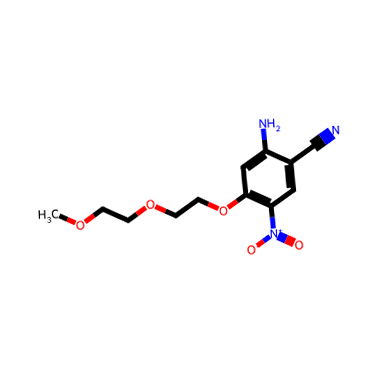 COCCOCCOc1cc(N)c(C#N)cc1[N+](=O)[O-]